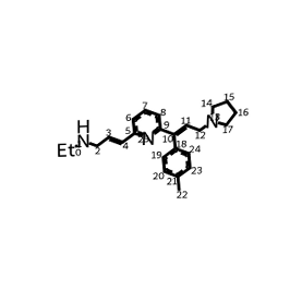 CCNC/C=C/c1cccc(/C(=C/CN2CCCC2)c2ccc(C)cc2)n1